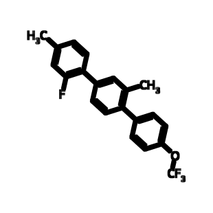 Cc1ccc(-c2ccc(-c3ccc(OC(F)(F)F)cc3)c(C)c2)c(F)c1